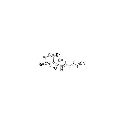 N#CCCCCNS(=O)(=O)c1cc(Br)ccc1Br